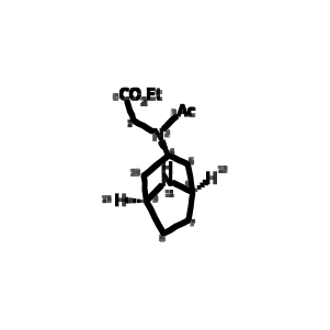 CCOC(=O)CN(C(C)=O)[C@H]1C[C@H]2CC[C@@H](C1)N2